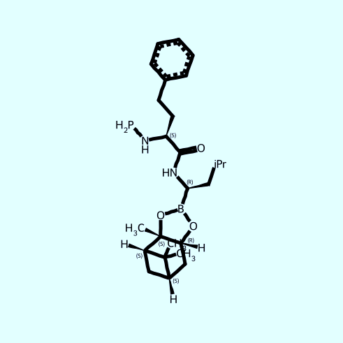 CC(C)C[C@H](NC(=O)[C@H](CCc1ccccc1)NP)B1O[C@@H]2C[C@@H]3C[C@@H](C3(C)C)[C@]2(C)O1